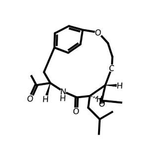 CC(=O)[C@@H]1Cc2ccc(cc2)OCCC[C@H](C(C)=O)[C@@H](CC(C)C)C(=O)N1